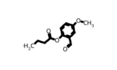 [CH2]CCC(=O)Oc1ccc(OC)cc1C=O